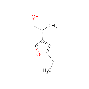 CCc1cc(C(C)CO)co1